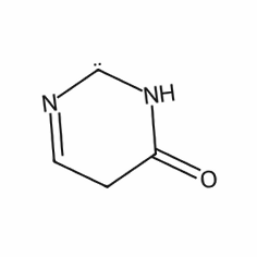 O=C1CC=N[C]N1